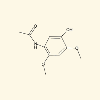 COc1cc(OC)c(NC(C)=O)cc1O